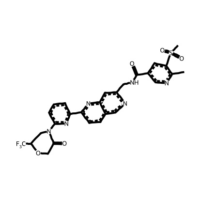 Cc1ncc(C(=O)NCc2cc3nc(-c4cccc(N5CC(C(F)(F)F)OCC5=O)n4)ccc3cn2)cc1S(C)(=O)=O